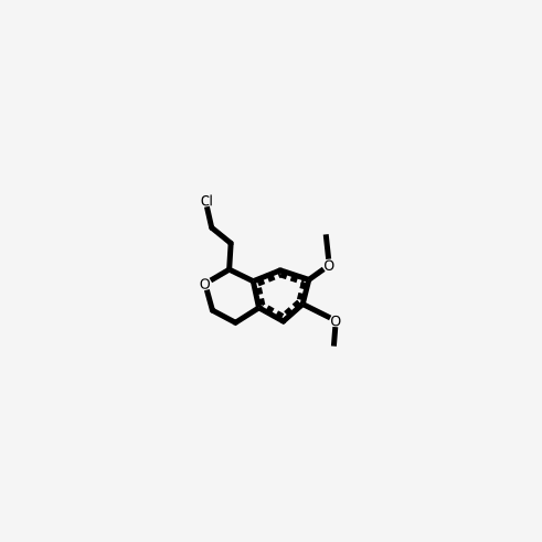 COc1cc2c(cc1OC)C(CCCl)OCC2